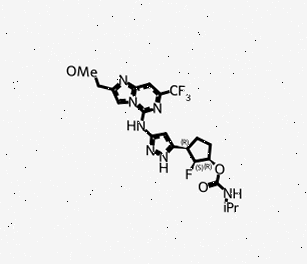 COCc1cn2c(Nc3cc([C@H]4CC[C@@H](OC(=O)NC(C)C)[C@H]4F)[nH]n3)nc(C(F)(F)F)cc2n1